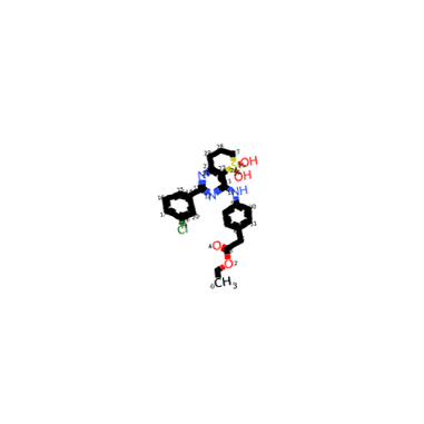 CCOC(=O)Cc1ccc(Nc2nc(-c3cccc(Cl)c3)nc3c2S(O)(O)CCC3)cc1